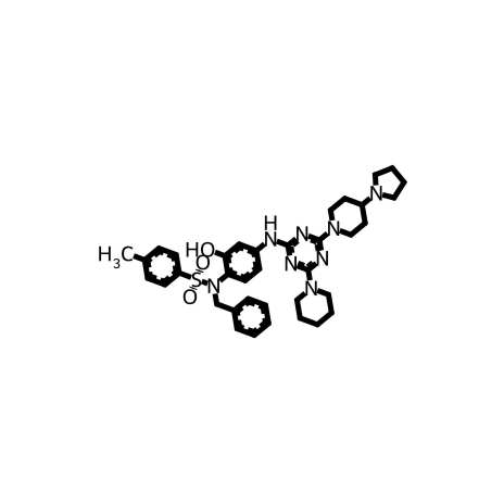 Cc1ccc(S(=O)(=O)N(Cc2ccccc2)c2ccc(Nc3nc(N4CCCCC4)nc(N4CCC(N5CCCC5)CC4)n3)cc2O)cc1